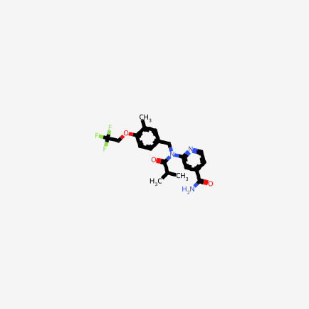 Cc1cc(CN(C(=O)C(C)C)c2cc(C(N)=O)ccn2)ccc1OCC(F)(F)F